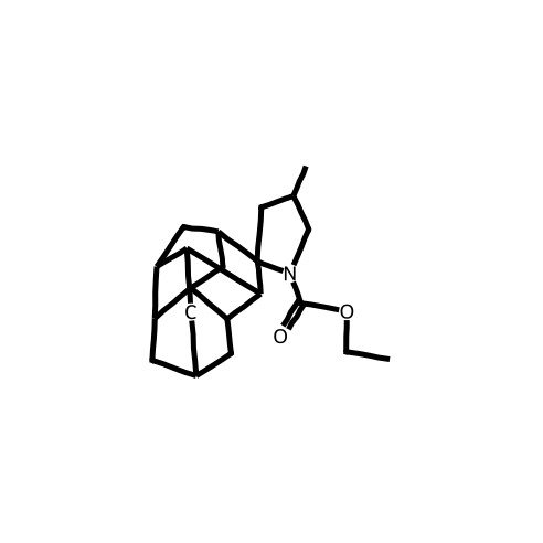 CCOC(=O)N1CC(C)CC12C1CC3C4CC5CC3C2C(C5)C4C1